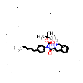 CCCCCc1ccc(N(C(=O)OC(C)(C)C)C(=O)[C@@H]2Cc3ccccc3CN2)cc1